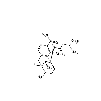 CC1CC[C@]23C[C@H](NC(=O)C[C@@H](N)C(=O)O)CC[C@@]2(O)[C@H]1Cc1ccc(C(N)=O)c(O)c13